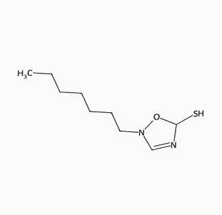 CCCCCCCN1C=NC(S)O1